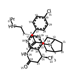 CC(C)NCC[C@@H](C(=O)N1CC2CCC(C1)N2c1ncnc2c1[C@@H](C(F)(F)F)CC(=O)N2)c1ccc(Cl)cc1